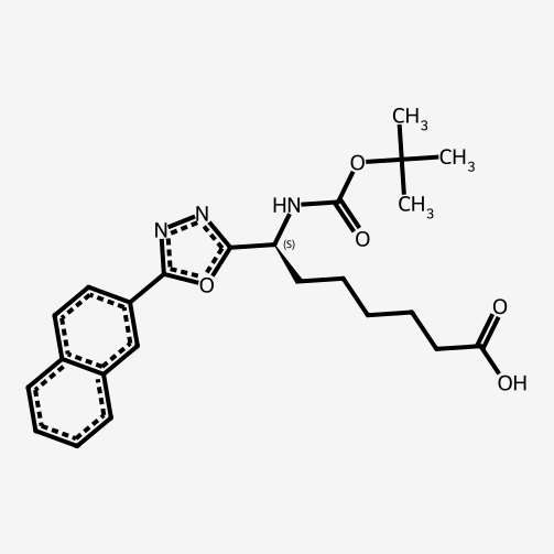 CC(C)(C)OC(=O)N[C@@H](CCCCCC(=O)O)c1nnc(-c2ccc3ccccc3c2)o1